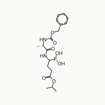 CC(C)OC(=O)CCC(NC(=O)[C@H](C)NC(=O)OCc1ccccc1)P(O)O